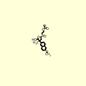 COc1ccc2cc([C@](C)(CC[S+]([O-])CCO[N+](=O)[O-])C(=O)O)ccc2c1